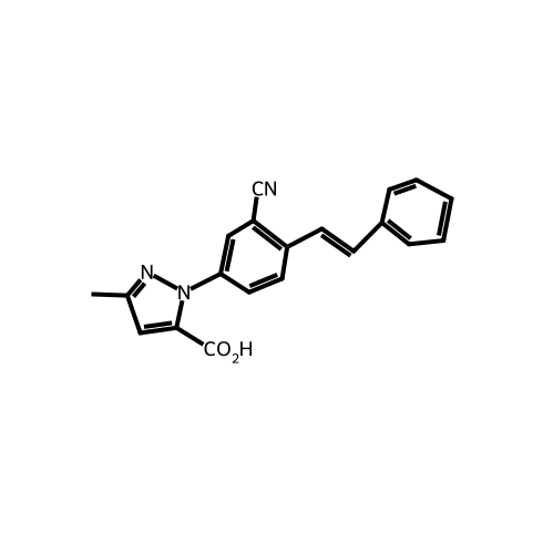 Cc1cc(C(=O)O)n(-c2ccc(/C=C/c3ccccc3)c(C#N)c2)n1